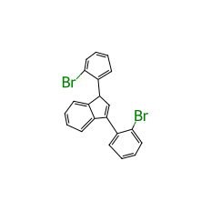 Brc1ccccc1C1=CC(c2ccccc2Br)c2ccccc21